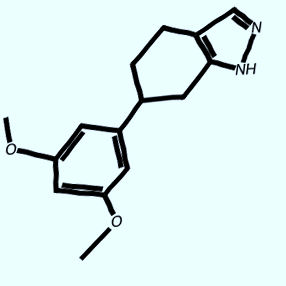 COc1cc(OC)cc(C2CCc3cn[nH]c3C2)c1